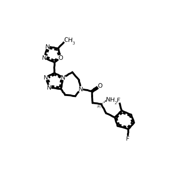 Cc1nnc(-c2nnc3n2CCN(C(=O)C[C@H](N)Cc2cc(F)ccc2F)CC3)o1